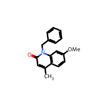 COc1ccc2c(C)cc(=O)n(Cc3ccccc3)c2c1